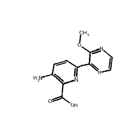 COc1nccnc1-c1ccc(N)c(C(=O)O)n1